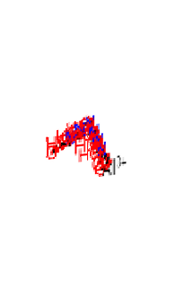 Cc1ccc2cccc(C(=O)O)c2n1.Cc1ccc2cccc(C(=O)O)c2n1.Cc1ccc2cccc(C(=O)O)c2n1.Cc1ccc2cccc(C(=O)O)c2n1.Cc1ccc2cccc(C(=O)O)c2n1.Cc1ccc2cccc(C(=O)O)c2n1.[Al+3].[O-]c1ccc(-c2ccccc2)cc1.[O-]c1ccc(-c2ccccc2)cc1.[O-]c1ccc(-c2ccccc2)cc1